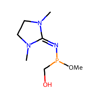 COP(CO)N=C1N(C)CCN1C